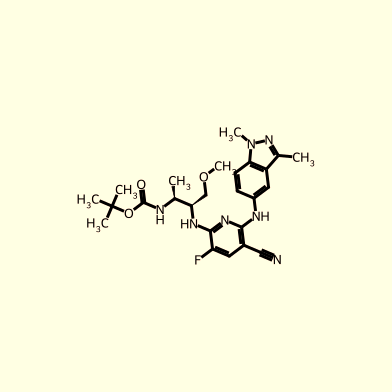 COC[C@@H](Nc1nc(Nc2ccc3c(c2)c(C)nn3C)c(C#N)cc1F)[C@H](C)NC(=O)OC(C)(C)C